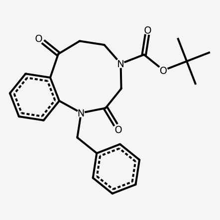 CC(C)(C)OC(=O)N1CCC(=O)c2ccccc2N(Cc2ccccc2)C(=O)C1